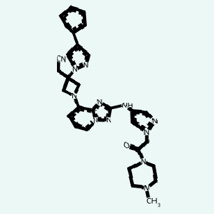 CN1CCN(C(=O)Cn2cc(Nc3nc4c(N5CC(CC#N)(n6cc(-c7ccccc7)cn6)C5)cccn4n3)cn2)CC1